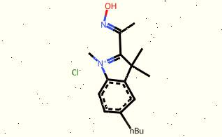 CCCCc1ccc2c(c1)C(C)(C)C(C(C)=NO)=[N+]2C.[Cl-]